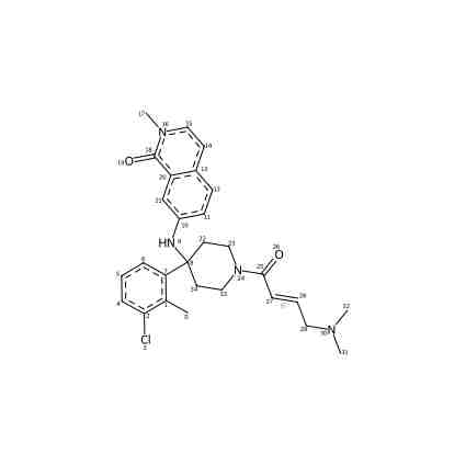 Cc1c(Cl)cccc1C1(Nc2ccc3ccn(C)c(=O)c3c2)CCN(C(=O)/C=C/CN(C)C)CC1